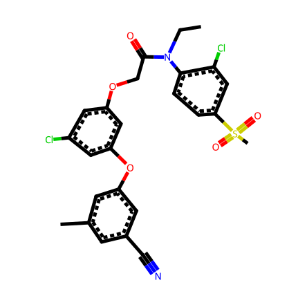 CCN(C(=O)COc1cc(Cl)cc(Oc2cc(C)cc(C#N)c2)c1)c1ccc(S(C)(=O)=O)cc1Cl